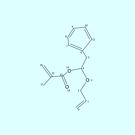 C=CCOC(Cc1ccccc1)OC(=O)C(=C)C